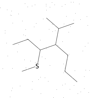 CCCC(C(C)C)C(CC)SC